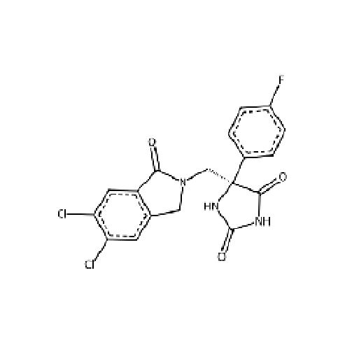 O=C1NC(=O)[C@](CN2Cc3cc(Cl)c(Cl)cc3C2=O)(c2ccc(F)cc2)N1